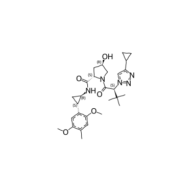 COc1cc([C@@H]2C[C@H]2NC(=O)[C@@H]2C[C@@H](O)CN2C(=O)[C@@H](n2cc(C3CC3)nn2)C(C)(C)C)c(OC)cc1C